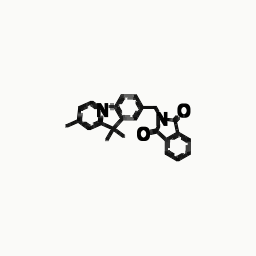 Cc1cc[n+]2c(c1)C(C)(C)c1cc(CN3C(=O)c4ccccc4C3=O)ccc1-2